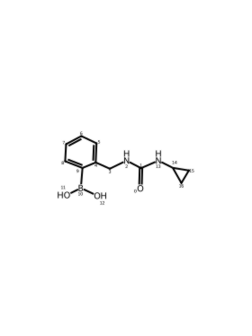 O=C(NCc1ccccc1B(O)O)NC1CC1